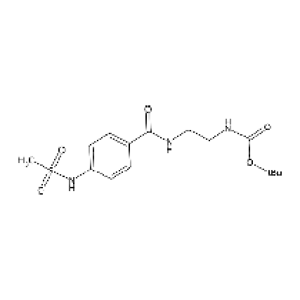 CC(C)(C)OC(=O)NCCNC(=O)c1ccc(NS(C)(=O)=O)cc1